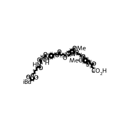 CCC(C)C1CC(=O)N(CCCCCC(=O)NCC(=O)N[C@@H](C)C(=O)Nc2ccc(COC(=O)CCC(=O)N3Cc4cc(OC)c(OCCCOc5cc6cc(C(=O)CCC(=O)O)sc6cc5OC)nc4C3)cc2)C1=O